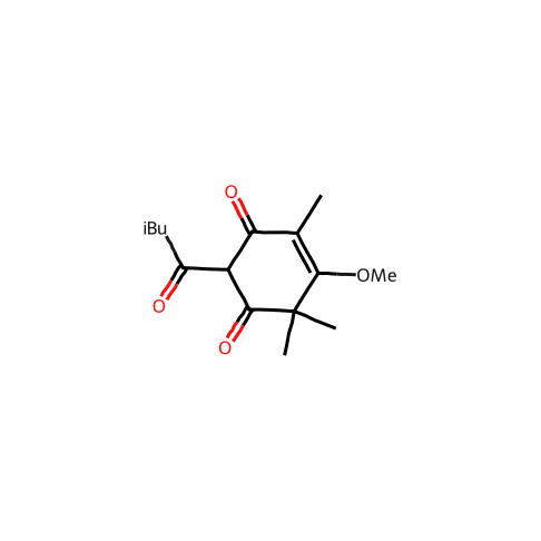 CCC(C)C(=O)C1C(=O)C(C)=C(OC)C(C)(C)C1=O